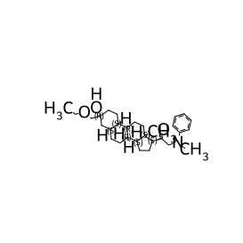 CCOC[C@@]1(O)CC[C@H]2[C@@H](CC[C@@H]3[C@@H]2CC[C@]2(C)[C@@H](C(=O)CN(C)c4ccccc4)CC[C@@H]32)C1